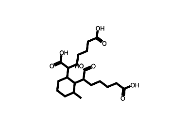 CC1CCCC(C(CCCCC(=O)O)C(=O)O)C1C(CCCCC(=O)O)C(=O)O